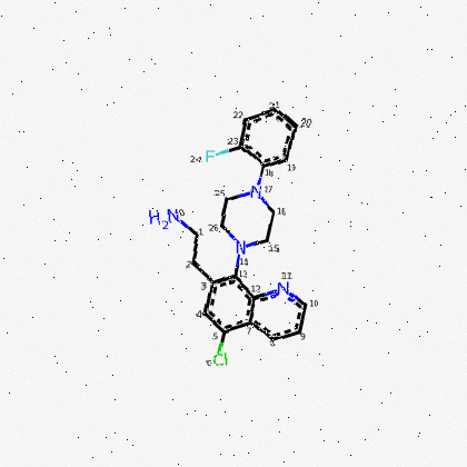 NCCc1cc(Cl)c2cccnc2c1N1CCN(c2ccccc2F)CC1